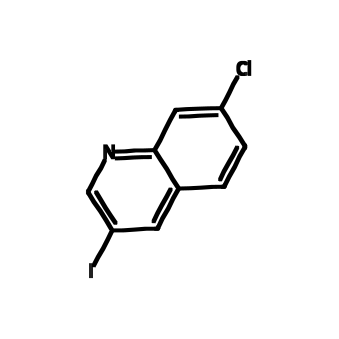 Clc1ccc2cc(I)cnc2c1